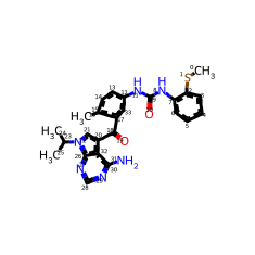 CSc1ccccc1NC(=O)Nc1ccc(C)c(C(=O)c2cn(C(C)C)c3ncnc(N)c23)c1